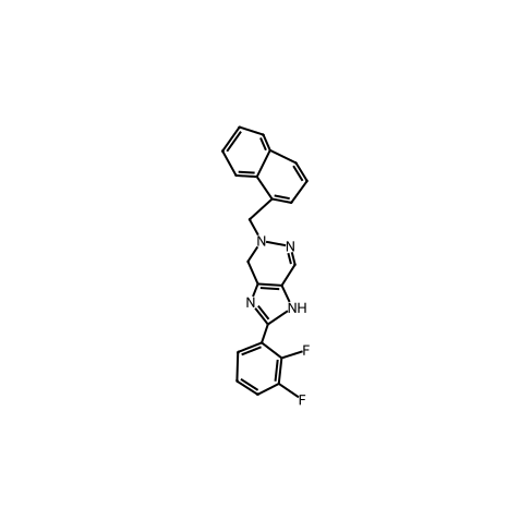 Fc1cccc(-c2nc3c([nH]2)C=NN(Cc2cccc4ccccc24)C3)c1F